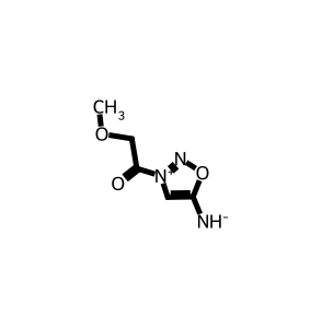 COCC(=O)[n+]1cc([NH-])on1